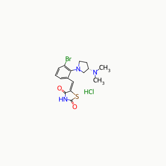 CN(C)[C@H]1CCN(c2c(Br)cccc2C=C2SC(=O)NC2=O)C1.Cl